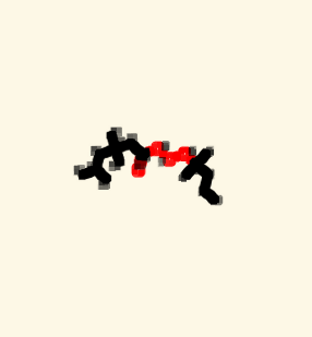 CCCC(C)(C)OOOC(=O)CC(C)(C)CC(C)C